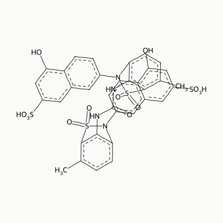 Cc1ccc2c(NC(=O)Nc3c4ccc(C)c3S(=O)(=O)N4c3ccc4c(O)cc(S(=O)(=O)O)cc4c3)c1S(=O)(=O)N2c1ccc2c(O)cc(S(=O)(=O)O)cc2c1